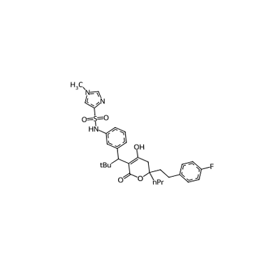 CCCC1(CCc2ccc(F)cc2)CC(O)=C(C(c2cccc(NS(=O)(=O)c3cn(C)cn3)c2)C(C)(C)C)C(=O)O1